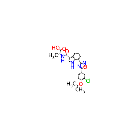 CC(C)Oc1ccc(-c2nc(-c3cccc4c(C(=O)NC(C)C(=O)O)c[nH]c34)no2)cc1Cl